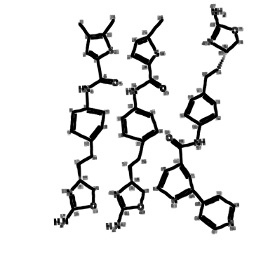 Cc1cc(C(=O)Nc2ccc(CC[C@H]3COC(N)=N3)cc2)sc1C.Cc1ccc(C(=O)Nc2ccc(CC[C@H]3COC(N)=N3)cc2)s1.NC1=N[C@@H](CCc2ccc(NC(=O)c3ccnc(-c4ccncc4)c3)cc2)CO1